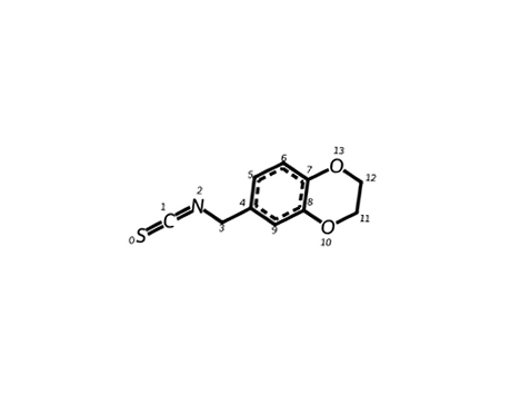 S=C=NCc1ccc2c(c1)OCCO2